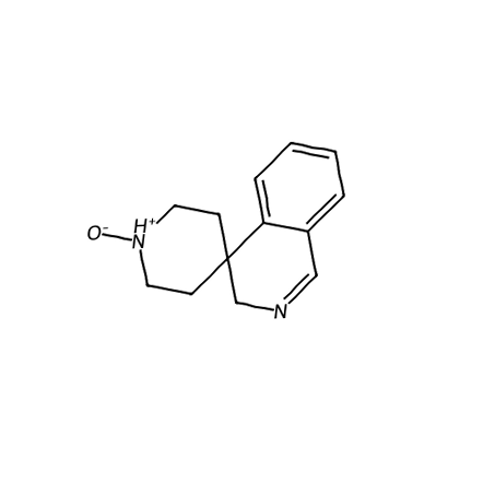 [O-][NH+]1CCC2(CC1)CN=Cc1ccccc12